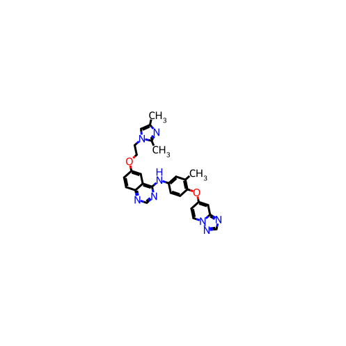 Cc1cn(CCOc2ccc3ncnc(Nc4ccc(Oc5ccn6ncnc6c5)c(C)c4)c3c2)c(C)n1